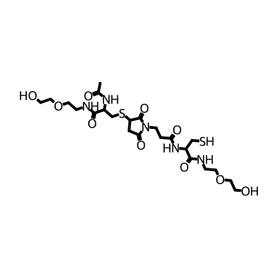 CC(=O)NC(CSC1CC(=O)N(CCC(=O)NC(CS)C(=O)NCCOCCO)C1=O)C(=O)NCCOCCO